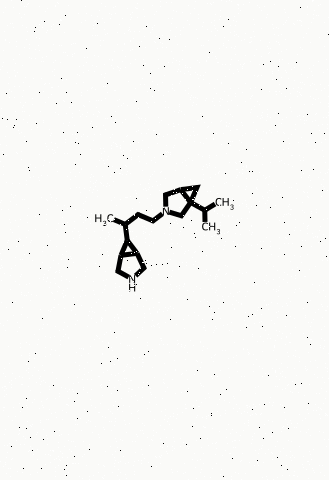 CC(CCN1CC2CC2(C(C)C)C1)C1C2CNCC21